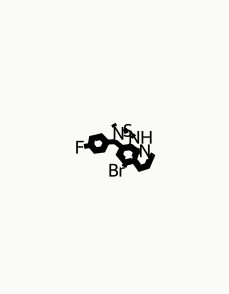 CN1SNc2c(cc(Br)c3cccnc23)C1c1ccc(F)cc1